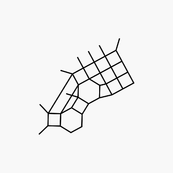 CC1C2CCC3C4C5C6C7CC8C9C(C)C%10(C)C%11(C)C%12(C)C%13(C)C1(C)C21C3C4(C)C1%13C%121C5C62C78C9%10C2%111